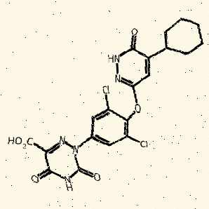 O=C(O)c1nn(-c2cc(Cl)c(Oc3cc(C4CCCCC4)c(=O)[nH]n3)c(Cl)c2)c(=O)[nH]c1=O